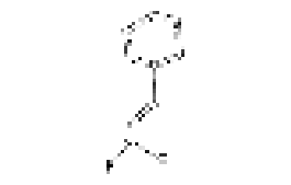 F[C](F)C=Cc1ccccc1